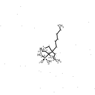 CCCCCCC(CC)(CCC)C(C)(CC)P(=O)(O)O